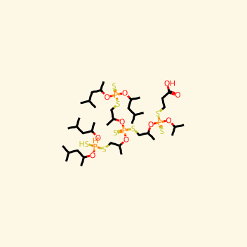 CC(C)CC(C)OP(=S)(OC(C)CC(C)C)SCC(C)OP(=S)(OC(C)CS[PH](S)(OC(C)CC(C)C)OC(C)CC(C)C)SCC(C)OP(=S)(OC(C)C)SCCC(=O)O